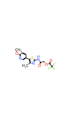 COc1ccc(-c2sc(NC(=O)COC(=O)C(F)(F)F)nc2C)cn1